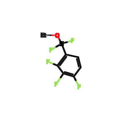 CCO[Si](F)(F)c1ccc(F)c(F)c1F